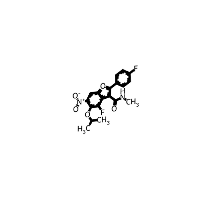 CNC(=O)c1c(-c2ccc(F)cc2)oc2cc([N+](=O)[O-])c(OC(C)C)c(F)c12